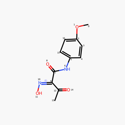 COc1ccc(NC(=O)/C(=N/O)C(C)=O)cc1